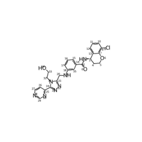 O=C(N[C@@H]1CCOc2c(Cl)cccc21)c1cccc(NCc2nnc(-c3ccncn3)n2CCO)c1